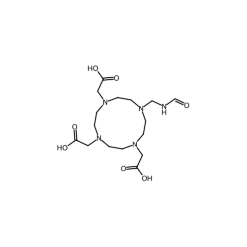 O=CNCN1CCN(CC(=O)O)CCN(CC(=O)O)CCN(CC(=O)O)CC1